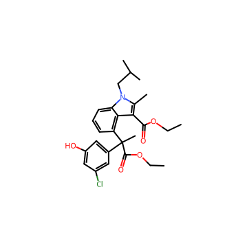 CCOC(=O)c1c(C)n(CC(C)C)c2cccc(C(C)(C(=O)OCC)c3cc(O)cc(Cl)c3)c12